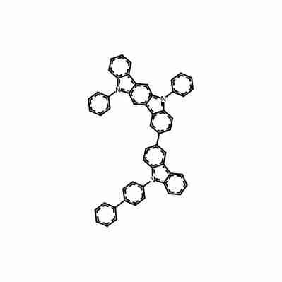 c1ccc(-c2ccc(-n3c4ccccc4c4cc(-c5ccc6c(c5)c5cc7c(cc5n6-c5ccccc5)c5ccccc5n7-c5ccccc5)ccc43)cc2)cc1